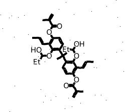 C=C(C)C(=O)Oc1ccc(C(C)(C)c2ccc(OC(=O)C(=C)C)c(C=CC)c2OC(O)CC)c(OC(O)CC)c1C=CC